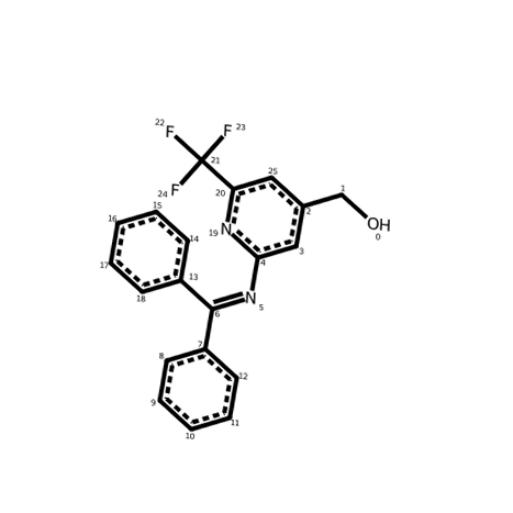 OCc1cc(N=C(c2ccccc2)c2ccccc2)nc(C(F)(F)F)c1